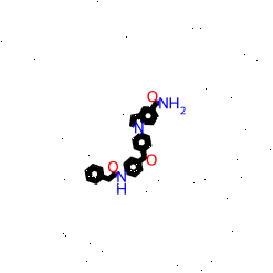 NC(=O)c1ccc2c(ccn2-c2ccc(C(=O)c3ccc(NC(=O)Cc4ccccc4)cc3)cc2)c1